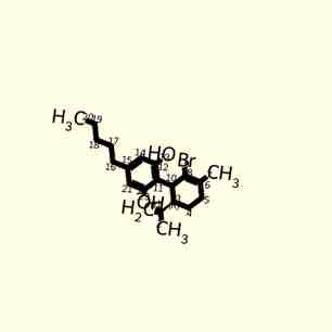 C=C(C)[C@@H]1CCC(C)=C(Br)C1c1c(O)cc(CCCCC)cc1O